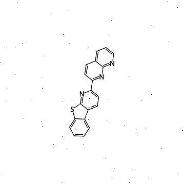 c1cnc2nc(-c3ccc4c(n3)sc3ccccc34)ccc2c1